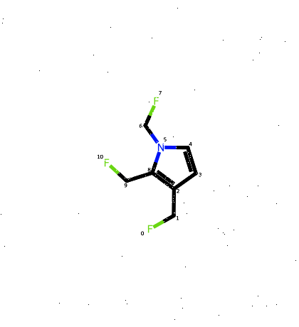 FCc1ccn(CF)c1CF